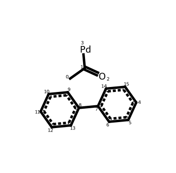 C[C](=O)[Pd].c1ccc(-c2ccccc2)cc1